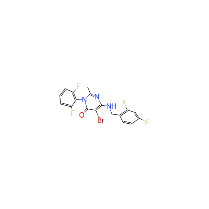 Cc1nc(NCc2ccc(F)cc2F)c(Br)c(=O)n1-c1c(F)cccc1F